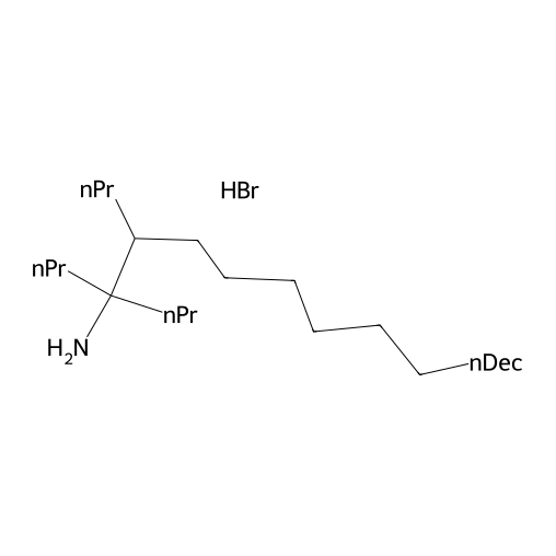 Br.CCCCCCCCCCCCCCCCC(CCC)C(N)(CCC)CCC